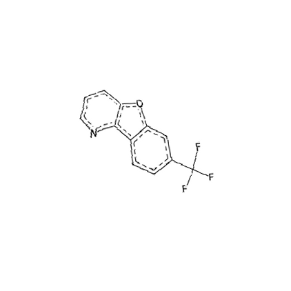 FC(F)(F)c1ccc2c(c1)oc1cccnc12